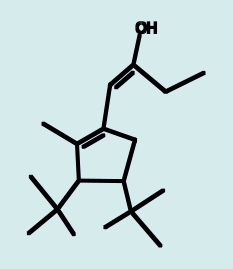 CC/C(O)=C\C1=C(C)C(C(C)(C)C)C(C(C)(C)C)C1